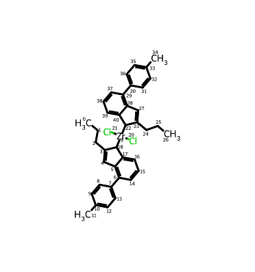 CCCC1=Cc2c(-c3ccc(C)cc3)cccc2[CH]1[Zr]([Cl])([Cl])[CH]1C(CCC)=Cc2c(-c3ccc(C)cc3)cccc21